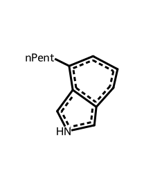 CCCCCc1cccc2c[nH]cc12